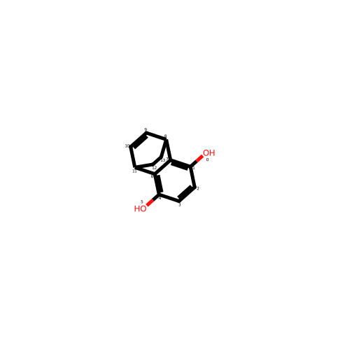 Oc1ccc(O)c2c1C1C=CC2CC1